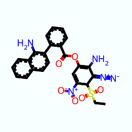 CCS(=O)(=O)C1C([N+](=O)[O-])=CC(OC(=O)c2ccccc2-c2ccc3ccccc3c2N)=C(N)C1=[N+]=[N-]